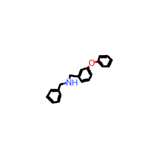 c1ccc(CNCc2cccc(Oc3ccccc3)c2)cc1